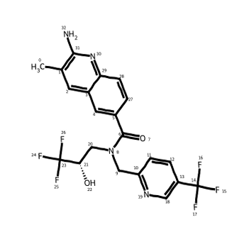 Cc1cc2cc(C(=O)N(Cc3ccc(C(F)(F)F)cn3)C[C@H](O)C(F)(F)F)ccc2nc1N